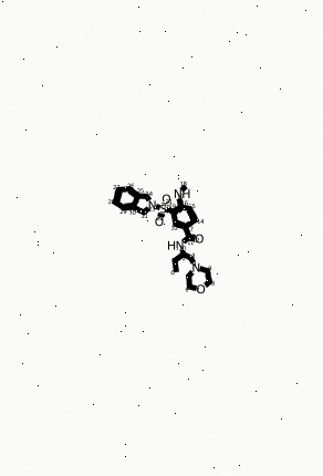 CCC(CN1CCOCC1)NC(=O)c1ccc(NC)c(S(=O)(=O)N2Cc3ccccc3C2)c1